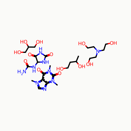 CC(O)CCO.Cn1c(=O)c2c(ncn2C)n(C)c1=O.NC(=O)NC1NC(=O)NC1=O.OCC(O)CO.OCCN(CCO)CCO